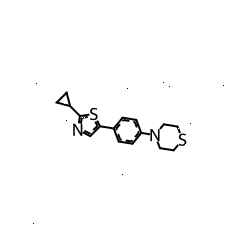 c1cc(N2CCSCC2)ccc1-c1cnc(C2CC2)s1